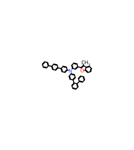 Cc1c(-c2cccc(N(c3ccc(-c4ccc(-c5ccccc5)cc4)cc3)c3ccc(-c4ccccc4-c4ccccc4)cc3)c2)oc2ccccc12